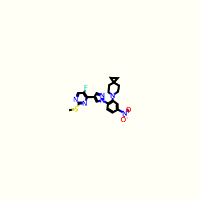 CSc1ncc(F)c(-c2cnn(-c3ccc([N+](=O)[O-])cc3N3CCC4(CC3)CC4)c2)n1